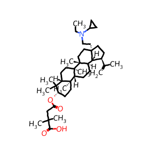 C=C(C)[C@@H]1CC[C@]2(CCN(CC)C3CC3)CC[C@]3(C)[C@H](CC[C@@H]4[C@@]5(C)CC[C@H](OC(=O)CC(C)(C)C(=O)O)C(C)(C)[C@@H]5CC[C@]43C)[C@@H]12